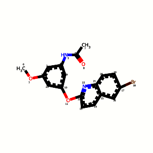 COc1cc(NC(C)=O)cc(Oc2ccc3cc(Br)ccc3n2)c1